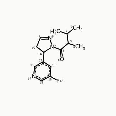 CC(C)C(C)C(=O)N1N=CCC1c1cncc(F)c1